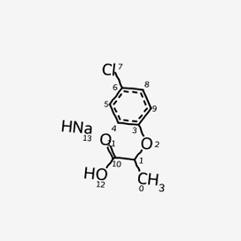 CC(Oc1ccc(Cl)cc1)C(=O)O.[NaH]